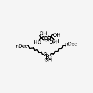 CCCCCCCCCCCCCCCCCCOP(O)OCCCCCCCCCCCCCCCCCC.OCC(CO)(CO)COCC(CO)(CO)CO